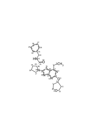 CCc1nc(OC2CCOCC2)nc2nc(N3CCC[C@@H]3C(=O)NCc3ccccc3)sc12